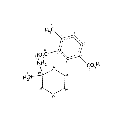 Cc1ccc(C(=O)O)cc1C(=O)O.NC1(N)CCCCC1